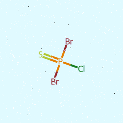 S=P(Cl)(Br)Br